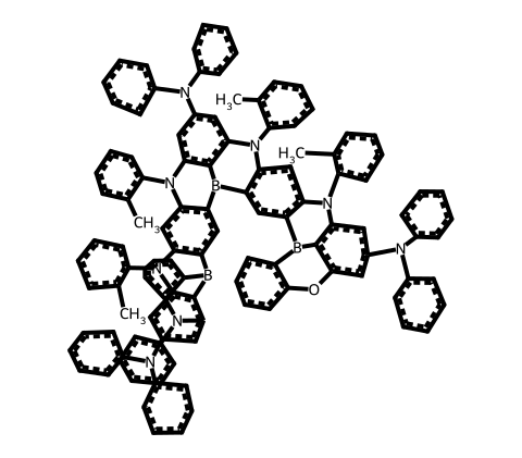 Cc1ccccc1N1c2cc3c(cc2B2c4ccccc4Oc4cc(N(c5ccccc5)c5ccccc5)cc1c42)B1c2cc4c(cc2N(c2ccccc2C)c2cc(N(c5ccccc5)c5ccccc5)cc(c21)N3c1ccccc1C)N(c1ccccc1C)c1cc(N(c2ccccc2)c2ccccc2)cc2c1B4c1ccccc1N2c1ccccc1